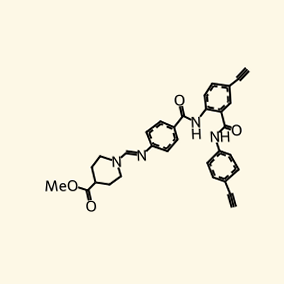 C#Cc1ccc(NC(=O)c2cc(C#C)ccc2NC(=O)c2ccc(N=CN3CCC(C(=O)OC)CC3)cc2)cc1